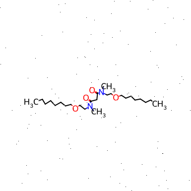 CCCCCCCCOCCN(C)C(=O)CC(=O)N(C)CCOCCCCCCCC